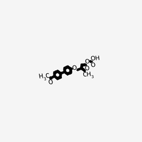 CC(=O)c1ccc(-c2ccc(OCc3cc(OC(=O)O)oc3C)cc2)cc1